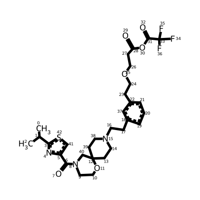 CC(C)c1nc(C(=O)N2CCOC3(CCN(CCc4cccc(CCOCCC(=O)OC(=O)C(F)(F)F)c4)CC3)C2)cs1